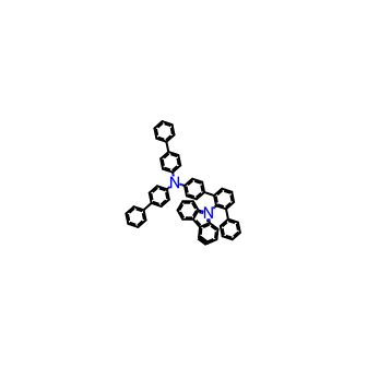 c1ccc2c(c#1)c1ccccc1n2-c1c(-c2ccccc2)cccc1-c1ccc(N(c2ccc(-c3ccccc3)cc2)c2ccc(-c3ccccc3)cc2)cc1